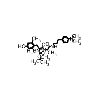 Cc1cc(O)cc(C)c1CC(NC(=O)OC(C)(C)C)C(=O)N[C@H](C)C(=O)NCCCc1ccc(N(C)C)cc1